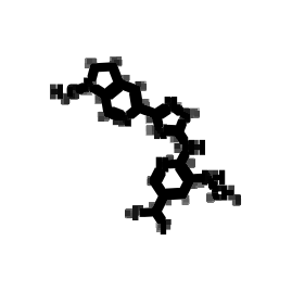 CNc1cc(C(F)F)cnc1Nc1nc(-c2cc3c(cn2)N(C)CC3)ns1